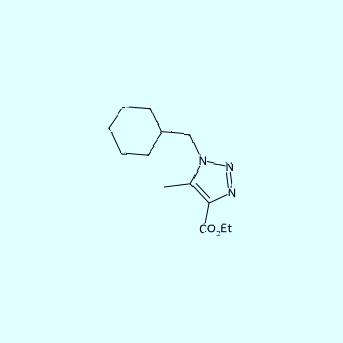 CCOC(=O)c1nnn(CC2CCCCC2)c1C